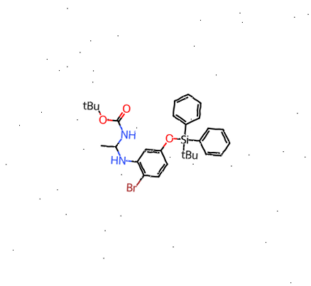 CC(NC(=O)OC(C)(C)C)Nc1cc(O[Si](c2ccccc2)(c2ccccc2)C(C)(C)C)ccc1Br